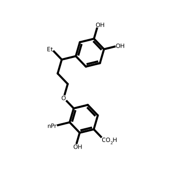 CCCc1c(OCCC(CC)c2ccc(O)c(O)c2)ccc(C(=O)O)c1O